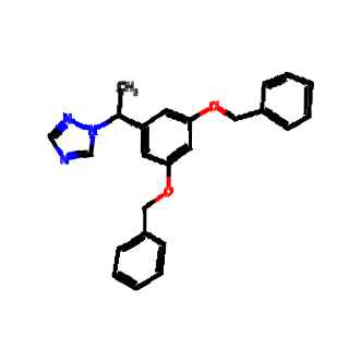 CC(c1cc(OCc2ccccc2)cc(OCc2ccccc2)c1)n1cncn1